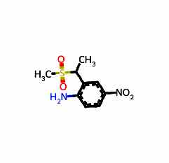 CC(c1cc([N+](=O)[O-])ccc1N)S(C)(=O)=O